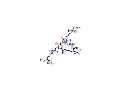 COC(=O)NCCCC[C@H](NC(=O)OC)C(=O)NCCC(=O)N(CC(=O)NCCCC[C@H](C)C(N)=O)CC(=O)NCCCC[C@H](C)C(N)=O